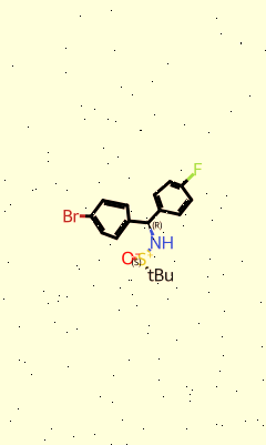 CC(C)(C)[S@@+]([O-])N[C@H](c1ccc(F)cc1)c1ccc(Br)cc1